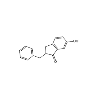 O=C1c2cc(O)ccc2CC1Cc1ccccc1